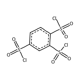 O=S(=O)(Cl)c1ccc(S(=O)(=O)Cl)c(S(=O)(=O)Cl)c1